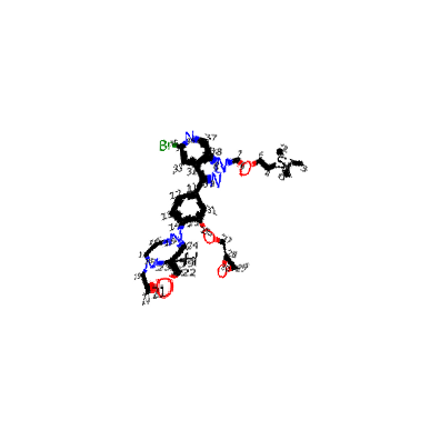 C[Si](C)(C)CCOCn1nc(-c2ccc(N3CCN4CCOC[C@H]4C3)c(OC[C@H]3CO3)c2)c2cc(Br)ncc21